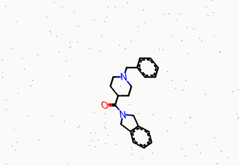 O=C(C1CCN(Cc2ccccc2)CC1)N1Cc2ccccc2C1